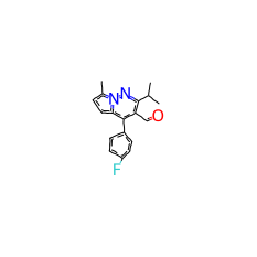 Cc1ccc2c(-c3ccc(F)cc3)c(C=O)c(C(C)C)nn12